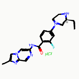 CC[C@H]1CN(c2ccc(C(=O)Nc3cn4cc(C)nc4cn3)c(F)c2)CCN1.Cl